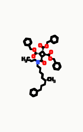 CCCN(CCC/C=C/[C@H](C)CCCc1ccccc1)C(=O)[C@H]1[C@H](C(=O)OCc2ccccc2)[C@H](C(=O)OCc2ccccc2)[C@H]1C(=O)OCc1ccccc1